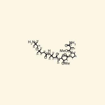 CCC(C)C(C(CC(=O)N1CCCC1C(OC)C(C)C(N)=O)OC)N(C)C(=O)CC(C)(C)NC(=O)CCC(C)(C)OCC(C)(C)N